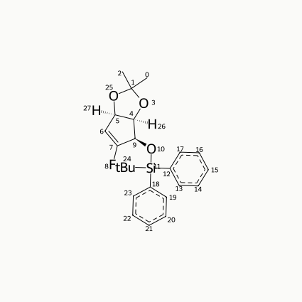 CC1(C)O[C@@H]2[C@@H](C=C(F)[C@@H]2O[Si](c2ccccc2)(c2ccccc2)C(C)(C)C)O1